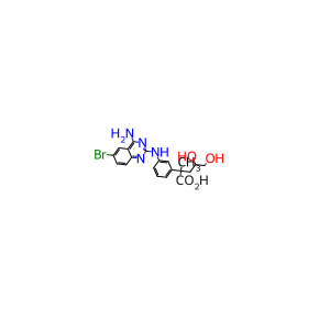 CC(CC(O)CO)(C(=O)O)c1cccc(Nc2nc(N)c3cc(Br)ccc3n2)c1